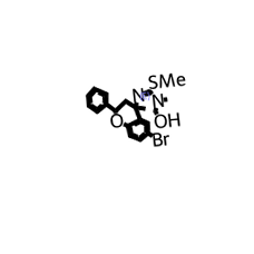 CS/C(=N/C1(C)CC(c2ccccc2)Oc2ccc(Br)cc21)N(C)CO